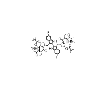 CCC(NC(=O)[C@H](C)NC)C(=O)N1C[C@@H](OC(=O)N(C)C)C[C@H]1Cc1c(-c2[nH]c3cc(F)ccc3c2C[C@@H]2C[C@H](OC(=O)N(C)C)CN2C(=O)[C@H](CC)NC(=O)[C@H](C)NC)[nH]c2cc(F)ccc12